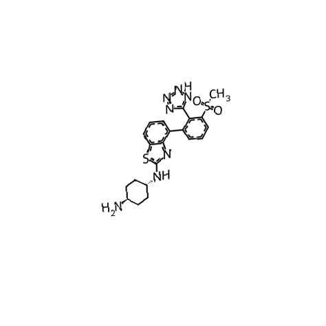 CS(=O)(=O)c1cccc(-c2cccc3sc(N[C@H]4CC[C@H](N)CC4)nc23)c1-c1nnn[nH]1